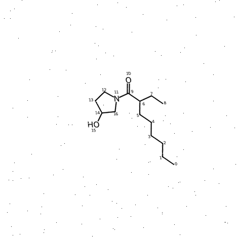 CCCCCCC(CC)C(=O)N1CCC(O)C1